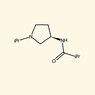 CC(C)C(=O)N[C@@H]1CCN(C(C)C)C1